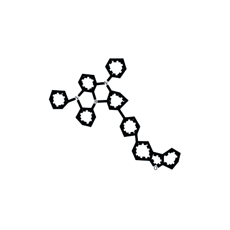 c1ccc(N2c3ccccc3B3c4cc(-c5ccc(-c6ccc7oc8ccccc8c7c6)cc5)ccc4N(c4ccccc4)c4cccc2c43)cc1